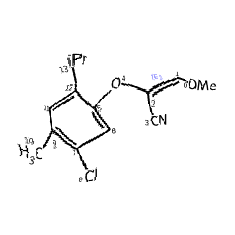 CO/C=C(\C#N)Oc1cc(Cl)c(C)cc1C(C)C